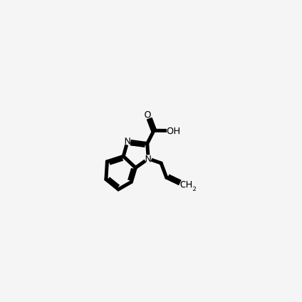 C=CCn1c(C(=O)O)nc2ccccc21